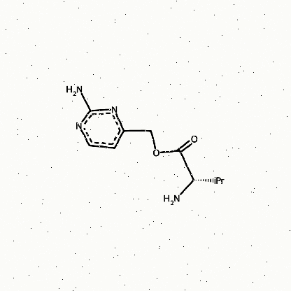 CC(C)[C@H](N)C(=O)OCc1ccnc(N)n1